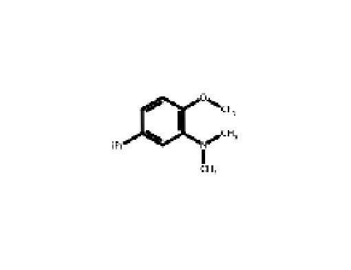 CC(C)c1ccc(OC(F)(F)F)c(N(C)C)c1